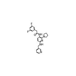 O=C(Cc1cc(F)cc(F)c1)Nc1ccc(NCc2cccnc2)nc1N1CCCC1